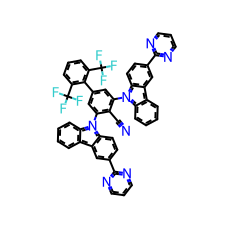 N#Cc1c(-n2c3ccccc3c3cc(-c4ncccn4)ccc32)cc(-c2c(C(F)(F)F)cccc2C(F)(F)F)cc1-n1c2ccccc2c2cc(-c3ncccn3)ccc21